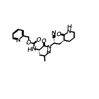 CC(C)C[C@H](NC(=O)OCc1ccccn1)C(=O)N[C@H](C#N)C[C@@H]1CCCNC1=O